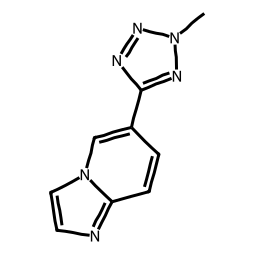 Cn1nnc(-c2ccc3nccn3c2)n1